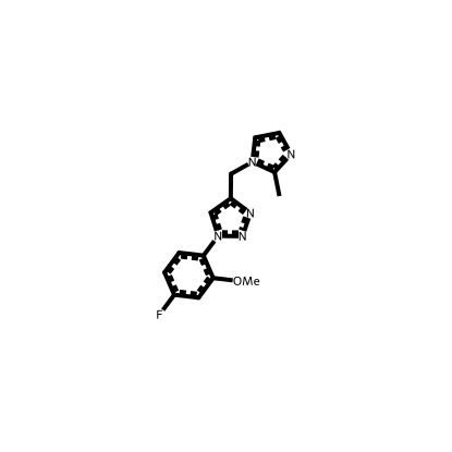 COc1cc(F)ccc1-n1cc(Cn2ccnc2C)nn1